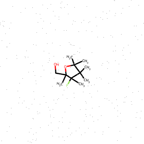 CC1(C)OC(C)(CO)C(C)(F)C1(C)C